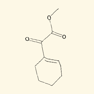 COC(=O)C(=O)C1=CCCCC1